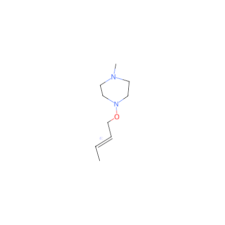 C/C=C/CON1CCN(C)CC1